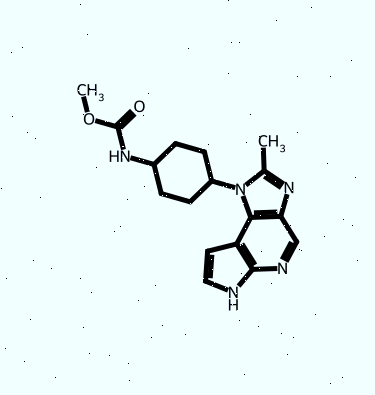 COC(=O)NC1CCC(n2c(C)nc3cnc4[nH]ccc4c32)CC1